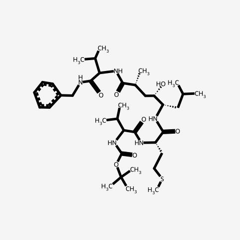 CSCC[C@H](NC(=O)C(NC(=O)OC(C)(C)C)C(C)C)C(=O)N[C@@H](CC(C)C)[C@@H](O)C[C@@H](C)C(=O)NC(C(=O)NCc1ccccc1)C(C)C